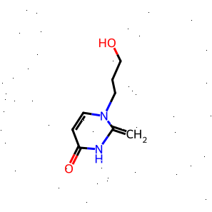 C=C1NC(=O)C=CN1CCCO